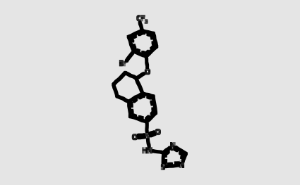 O=S(=O)(Nc1ncns1)c1ccc2c(c1)CCCC2Oc1ccc(C(F)(F)F)cc1Br